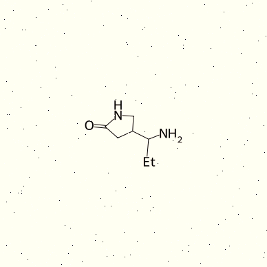 CCC(N)C1CNC(=O)C1